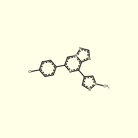 Cn1cc(-c2nc(-c3ccc(Cl)cc3)cn3ncnc23)cn1